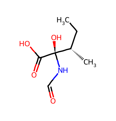 CC[C@H](C)[C@](O)(NC=O)C(=O)O